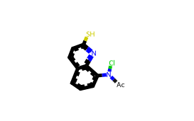 CC(=O)N(Cl)c1cccc2ccc(S)nc12